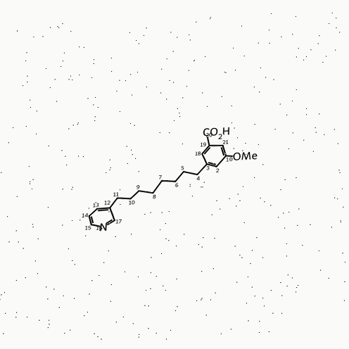 COc1cc(CCCCCCCCc2cccnc2)cc(C(=O)O)c1